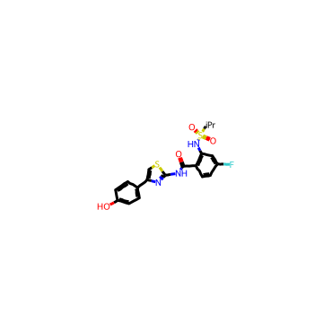 CC(C)S(=O)(=O)Nc1cc(F)ccc1C(=O)Nc1nc(-c2ccc(O)cc2)cs1